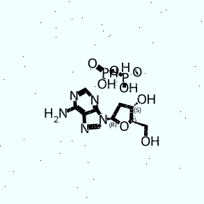 Nc1ncnc2c1ncn2[C@H]1C[C@H](O)[C@@H](CO)O1.O=[PH](O)O[PH](=O)O